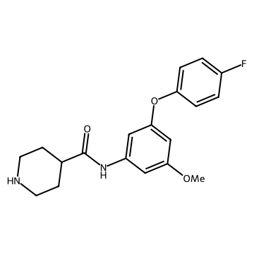 COc1cc(NC(=O)C2CCNCC2)cc(Oc2ccc(F)cc2)c1